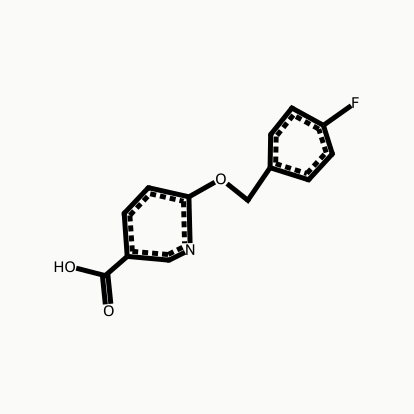 O=C(O)c1ccc(OCc2ccc(F)cc2)nc1